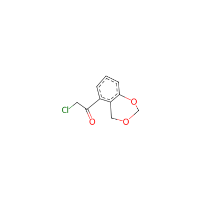 O=C(CCl)c1cccc2c1COCO2